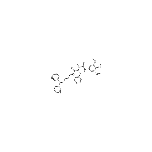 COc1cc(N(C)C(=O)N(C)C(Cc2ccccc2)C(=O)OCCCCC(c2cccnc2)c2cccnc2)cc(OC)c1OC